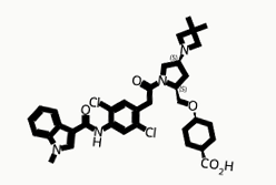 Cn1cc(C(=O)Nc2cc(Cl)c(CC(=O)N3C[C@@H](N4CC(C)(C)C4)C[C@H]3CO[C@H]3CC[C@H](C(=O)O)CC3)cc2Cl)c2ccccc21